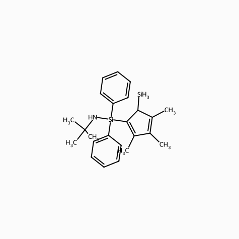 CC1=C(C)C([SiH3])C([Si](NC(C)(C)C)(c2ccccc2)c2ccccc2)=C1C